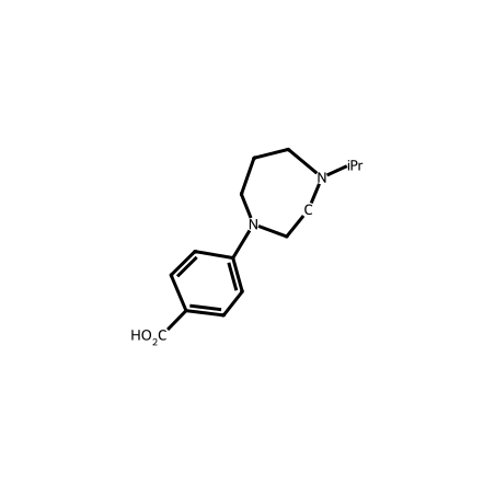 CC(C)N1CCCN(c2ccc(C(=O)O)cc2)CC1